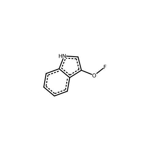 FOc1c[nH]c2ccccc12